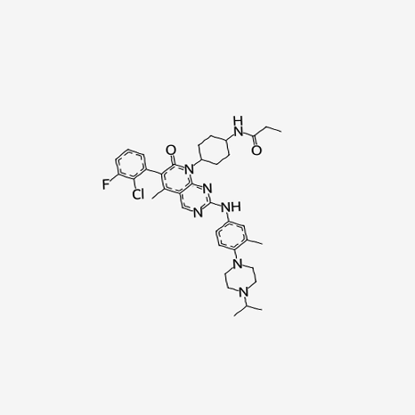 CCC(=O)NC1CCC(n2c(=O)c(-c3cccc(F)c3Cl)c(C)c3cnc(Nc4ccc(N5CCN(C(C)C)CC5)c(C)c4)nc32)CC1